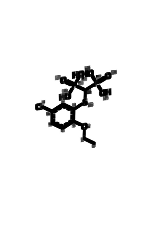 CCOc1ccc(Cl)cc1SC(P(=O)(O)O)P(=O)(O)O